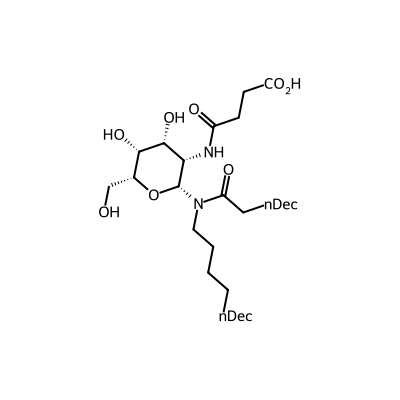 CCCCCCCCCCCCCCN(C(=O)CCCCCCCCCCC)[C@@H]1O[C@H](CO)[C@H](O)[C@H](O)[C@@H]1NC(=O)CCC(=O)O